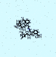 CCn1nc(C)cc1C(=O)Nc1nc2c(C(C)O)cccc2n1C/C=C/Cn1c(NC(=O)c2cc(C)nn2CC)nc2c(C(C)O)cccc21